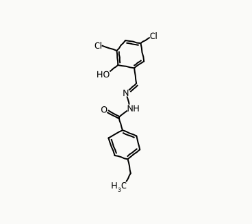 CCc1ccc(C(=O)N/N=C/c2cc(Cl)cc(Cl)c2O)cc1